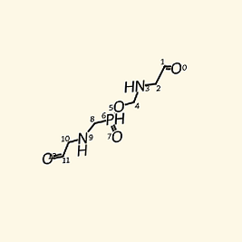 O=CCNCO[PH](=O)CNCC=O